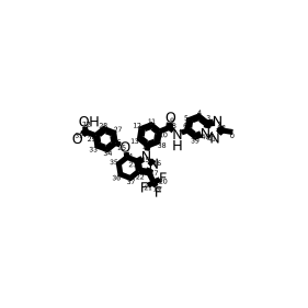 Cc1nc2ccc(NC(=O)c3cccc(-n4nc(C(F)(F)F)c5c4C(Oc4ccc(C(=O)O)cc4)CCC5)c3)cn2n1